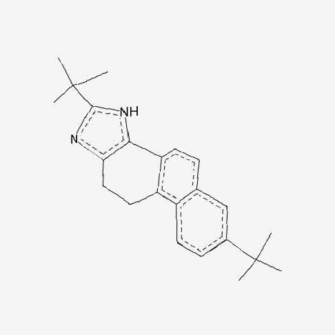 CC(C)(C)c1ccc2c3c(ccc2c1)-c1[nH]c(C(C)(C)C)nc1CC3